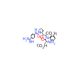 N=C(N)c1ccc(NC(=O)N2CCCC2C(=O)[C@@H](C(=O)O)N(C(=O)[C@@H](N)CC(=O)O)c2ccccc2)cc1